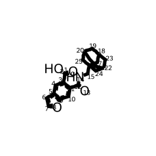 O=C(O)c1cc2ccoc2cc1C(=O)NCC12CC3CC(CC(C3)C1)C2